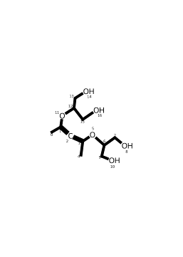 CC(=C=C(C)OC(CO)CO)OC(CO)CO